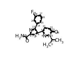 CC(C)n1nc(-c2sc(C(N)=O)nc2-c2cccc(F)c2)ccc1=O